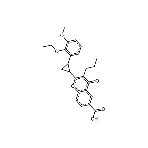 CCCc1c(C2CC2c2cccc(OC)c2OCC)oc2ccc(C(=O)O)cc2c1=O